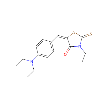 CCN1C(=O)/C(=C\c2ccc(N(CC)CC)cc2)SC1=S